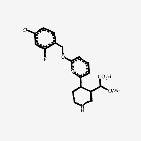 COC(C(=O)O)C1CNCCC1c1cccc(OCc2ccc(Cl)cc2F)n1